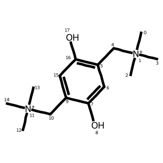 C[N+](C)(C)Cc1cc(O)c(C[N+](C)(C)C)cc1O